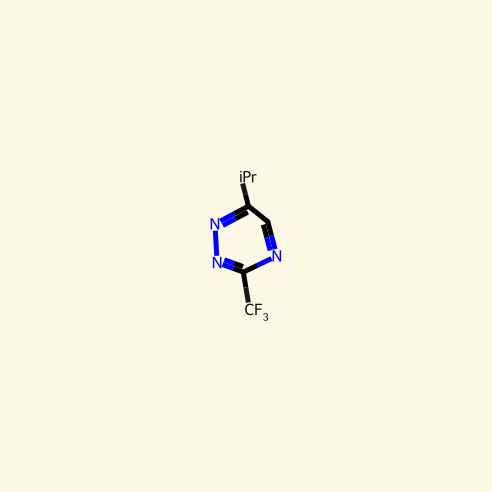 CC(C)c1cnc(C(F)(F)F)nn1